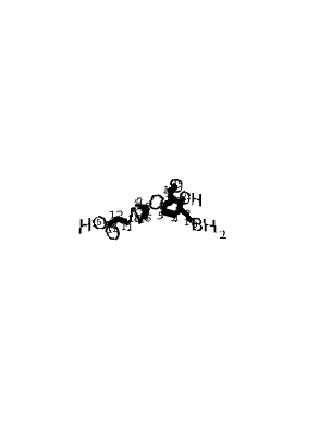 BCCc1ccc(OC2CN(CCC(=O)O)C2)c(C=O)c1O